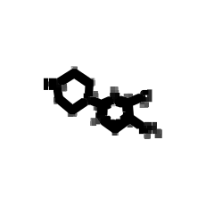 Nc1cnc(N2CCNCC2)nc1Cl